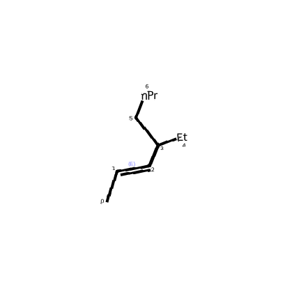 C/C=C/C(CC)CCCC